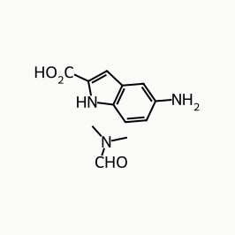 CN(C)C=O.Nc1ccc2[nH]c(C(=O)O)cc2c1